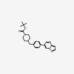 CC(C)(C)OC(=O)N1CCC(Cc2ccc(-c3cnc4ccnn4c3)cc2)CC1